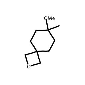 COC1(C)CCC2(CC1)COC2